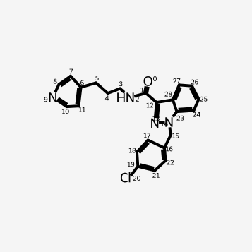 O=C(NCCCc1ccncc1)c1nn(Cc2ccc(Cl)cc2)c2ccccc12